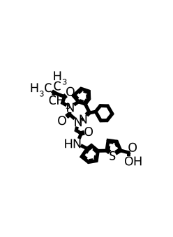 CC(C)(C)C(=O)CN1C(=O)N(CC(=O)Nc2cccc(-c3ccc(C(=O)O)s3)c2)N=C(C2CCCCC2)c2ccccc21